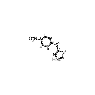 O=[N+]([O-])c1ccc(Sc2nc[nH]n2)cc1